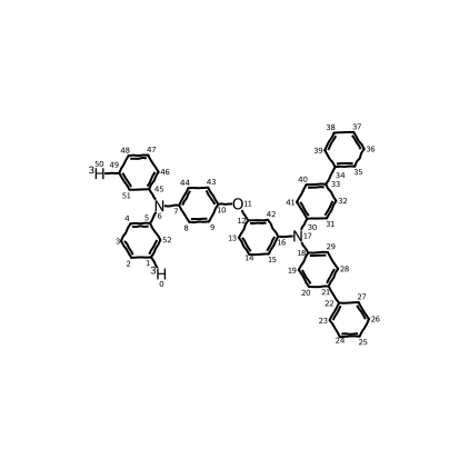 [3H]c1cccc(N(c2ccc(Oc3cccc(N(c4ccc(-c5ccccc5)cc4)c4ccc(-c5ccccc5)cc4)c3)cc2)c2cccc([3H])c2)c1